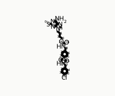 CSc1nc(N)c2ncn(CCCCOC(=O)NCc3ccc(S(=O)(=O)NCc4ccc(Cl)cc4)cc3)c2n1